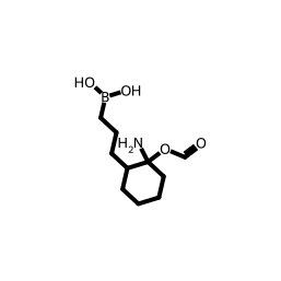 NC1(OC=O)CCCCC1CCCB(O)O